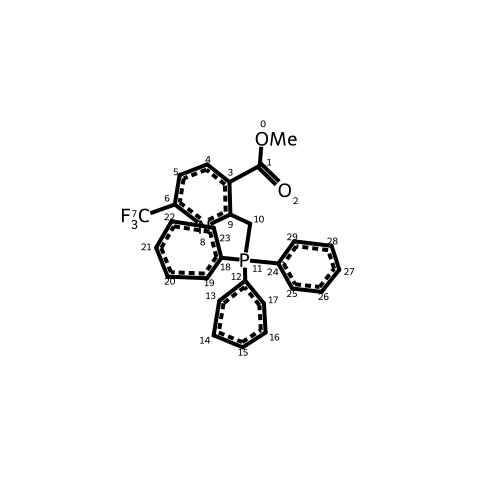 COC(=O)c1ccc(C(F)(F)F)nc1C[P](c1ccccc1)(c1ccccc1)c1ccccc1